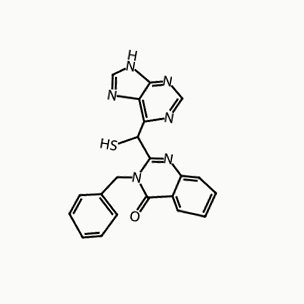 O=c1c2ccccc2nc(C(S)c2ncnc3[nH]cnc23)n1Cc1ccccc1